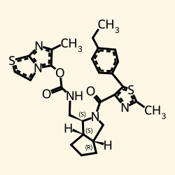 CCc1ccc(-c2sc(C)nc2C(=O)N2C[C@@H]3CCC[C@@H]3[C@H]2CNC(=O)Oc2c(C)nc3sccn23)cc1